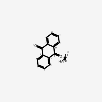 O=C1c2ccccc2C(=O)c2ccccc21.[O]=[AlH]